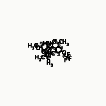 CCc1cc(OCC(F)(F)F)cc(C)c1C1=C(OC(=O)C(C)C)[C@]2(CC[C@H](OC)CC2)NC1=O